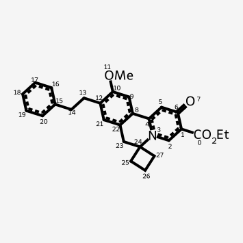 CCOC(=O)c1cn2c(cc1=O)-c1cc(OC)c(CCc3ccccc3)cc1CC21CCC1